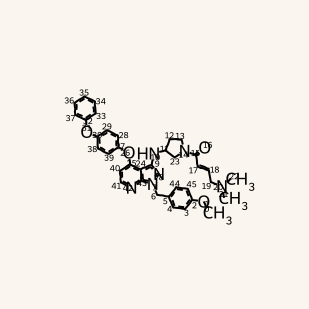 COc1ccc(Cn2nc(NC3CCN(C(=O)C=CCN(C)C)C3)c3c(Oc4ccc(Oc5ccccc5)cc4)ccnc32)cc1